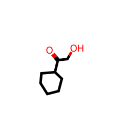 O=C(CO)C1CCCCC1